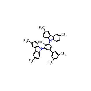 N#Cc1c(-n2c3ccc(C(F)(F)F)cc3c3cc(C(F)(F)F)ccc32)cc(-c2cc(C(F)(F)F)cc(C(F)(F)F)c2)cc1-n1c2ccc(C(F)(F)F)cc2c2cc(C(F)(F)F)ccc21